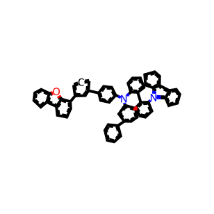 c1ccc(-c2cccc(N(c3ccc(-c4cccc(-c5cccc6c5oc5ccccc56)c4)cc3)c3ccccc3-c3ccccc3-n3c4ccccc4c4ccccc43)c2)cc1